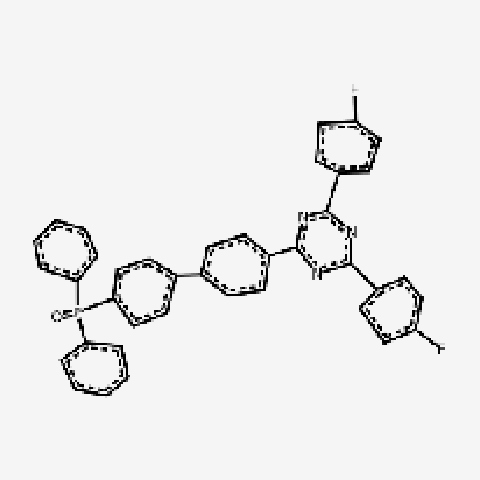 O=P(c1ccccc1)(c1ccccc1)c1ccc(-c2ccc(-c3nc(-c4ccc(F)cc4)nc(-c4ccc(F)cc4)n3)cc2)cc1